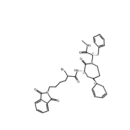 CNC(=O)[C@H](Cc1ccccc1)N1CCC([C@@H]2C=CC=CC2)C[C@H](NC(=O)C(Br)CCCCN2C(=O)c3ccccc3C2=O)C1=O